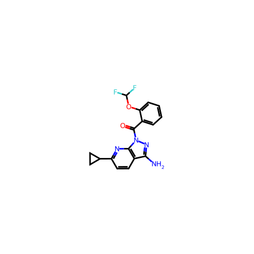 Nc1nn(C(=O)c2ccccc2OC(F)F)c2nc(C3CC3)ccc12